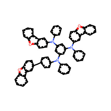 c1ccc(N(c2ccc(-c3ccc4oc5ccccc5c4c3)cc2)c2cc(N(c3ccccc3)c3ccc4oc5ccccc5c4c3)cc(N(c3ccccc3)c3ccc4oc5ccccc5c4c3)c2)cc1